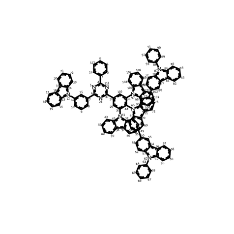 c1ccc(-c2nc(-c3cccc(-n4c5ccccc5c5ccccc54)c3)nc(-c3cc(-n4c5ccccc5c5ccccc54)c(-n4c5ccc(-c6ccc7c(c6)c6ccccc6n7-c6ccccc6)cc5c5ccc(-c6ccc7c(c6)c6ccccc6n7-c6ccccc6)cc54)c(-n4c5ccccc5c5ccccc54)c3)n2)cc1